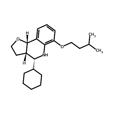 CC(C)CCOc1cccc2c1N[C@H](C1CCCCC1)[C@@H]1CCO[C@H]21